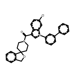 O=C(c1cn(-c2cccc(-c3ccccc3)c2)c2cc(Cl)ccc12)N1CCC2(CC1)OCc1ccccc12